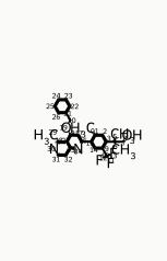 Cc1cc(C(C)(C)CO)c(C(F)(F)F)cc1-c1cc(OCc2ccccc2)c2c(C)nccc2n1